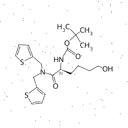 CC(C)(C)OC(=O)N[C@@H](CCCCO)C(=O)N(Cc1cccs1)Cc1cccs1